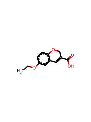 CCOc1ccc2c(c1)C=C(C(=O)O)CO2